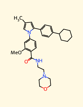 COc1cc(-n2cc(C)cc2-c2ccc(C3CCCCC3)cc2)ccc1C(=O)NCCN1CCOCC1